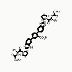 COC(=O)N[C@H](C(=O)N1C[C@@H](C)C[C@H]1c1nc2cc(-c3ccc(-c4ccc5nc([C@@H]6C[C@H](C)CN6C(=O)[C@@H](NC(=O)OC)C(C)C)[nH]c5c4)cc3C(=O)O)ccc2[nH]1)C(C)C